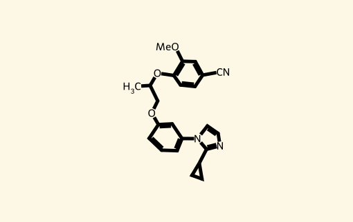 COc1cc(C#N)ccc1OC(C)COc1cccc(-n2ccnc2C2CC2)c1